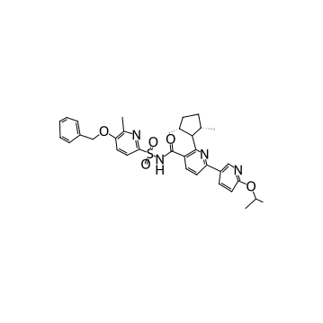 Cc1nc(S(=O)(=O)NC(=O)c2ccc(-c3ccc(OC(C)C)nc3)nc2C2[C@H](C)CC[C@@H]2C)ccc1OCc1ccccc1